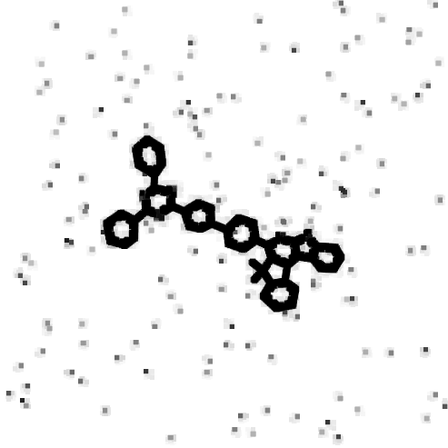 CC1(C)c2ccccc2-c2c1c(-c1ccc(-c3ccc(-c4nc(-c5ccccc5)nc(-c5ccccc5)n4)cc3)cc1)nc1sc3ccccc3c21